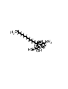 CCCCCCCCCCCCCCCC(=O)[C@@]1(n2cnc3c(N)ncnc32)O[C@H](CO)[C@@H](O)[C@H]1O